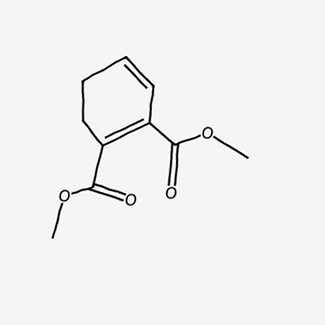 COC(=O)C1=C(C(=O)OC)CCC=C1